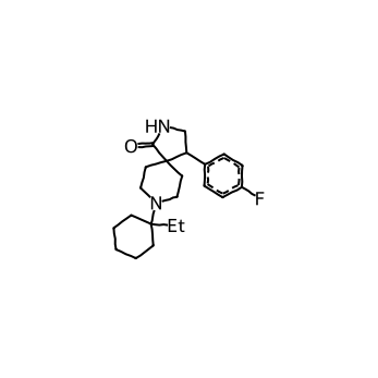 CCC1(N2CCC3(CC2)C(=O)NCC3c2ccc(F)cc2)CCCCC1